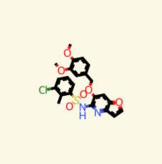 COc1ccc(COc2cc3occc3nc2NS(=O)(=O)c2cccc(Cl)c2C)cc1OC